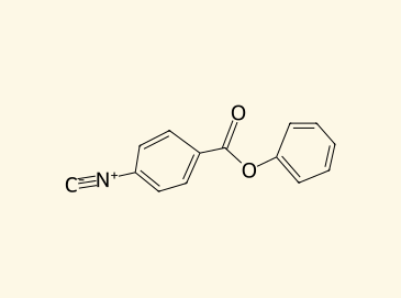 [C-]#[N+]c1ccc(C(=O)Oc2ccccc2)cc1